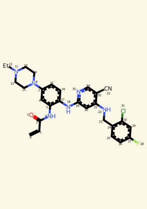 C=CC(=O)Nc1cc(N2CCN(CC)CC2)ccc1Nc1cc(NCc2ccc(F)cc2Cl)c(C#N)cn1